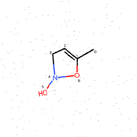 CC1=CCN(O)O1